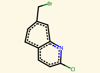 Clc1ccc2ccc(CBr)cc2n1